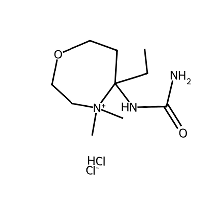 CCC1(NC(N)=O)CCOCC[N+]1(C)C.Cl.[Cl-]